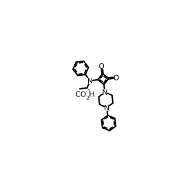 C[C@@H](C(=O)O)N(c1ccccc1)c1c(N2CCN(c3ccccc3)CC2)c(=O)c1=O